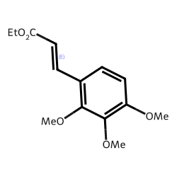 CCOC(=O)/C=C/c1ccc(OC)c(OC)c1OC